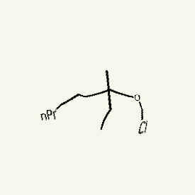 CCCCC(C)(C)OCl